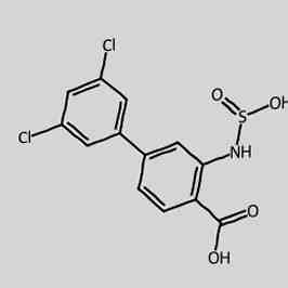 O=C(O)c1ccc(-c2cc(Cl)cc(Cl)c2)cc1NS(=O)O